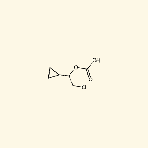 O=C(O)OC(CCl)C1CC1